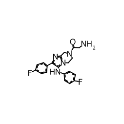 NCC(=O)N1CCn2c(nc(-c3ccc(F)cc3)c2Nc2ccc(F)cc2)C1